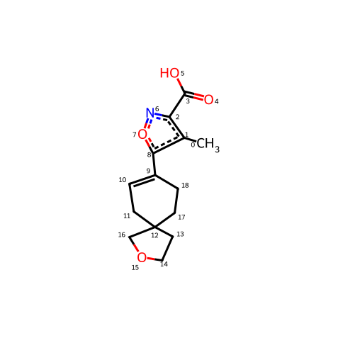 Cc1c(C(=O)O)noc1C1=CCC2(CCOC2)CC1